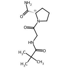 CC(C)(C)C(=O)NCC(=O)N1CCC[C@H]1C(N)=O